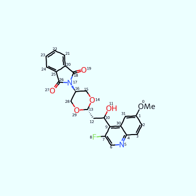 COc1ccc2ncc(F)c(C(O)C[C@H]3OC[C@H](N4C(=O)c5ccccc5C4=O)CO3)c2c1